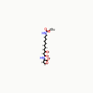 CC(C)(C)OC(=O)NCCCCCCCCC(=O)CC(=O)NC1CCOC1=O